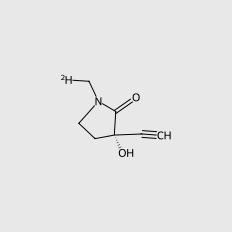 [2H]CN1CC[C@](O)(C#C)C1=O